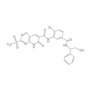 CS(=O)(=O)c1ncc2cc(C(=O)Nc3cc(C(=O)NC(CO)c4ccccc4)ccc3Cl)c(=O)[nH]c2n1